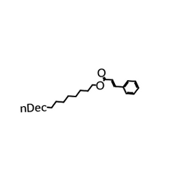 CCCCCCCCCCCCCCCCCCOC(=O)C=Cc1ccccc1